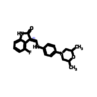 CC1CN(c2ccc(N/C=C3/C(=O)Nc4cccc(F)c43)cc2)CC(C)O1